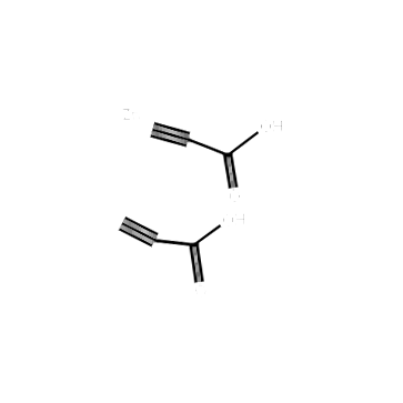 C#CC(=O)O.C#CC(=O)O.[Zn]